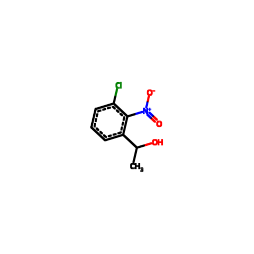 CC(O)c1cccc(Cl)c1[N+](=O)[O-]